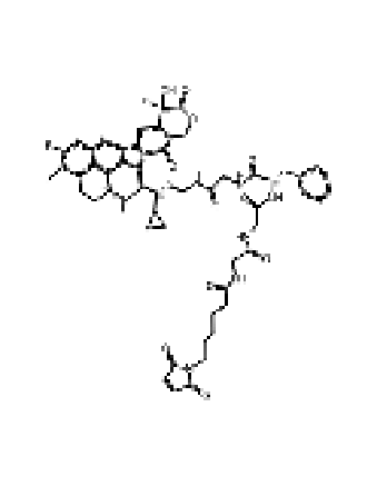 CC[C@@]1(O)C(=O)OCc2c1cc1c3nc4cc(F)c(C)c5c4c4c3c(n1c2=O)=C([C@H](OCNC(=O)CNC(=O)[C@H](Cc1ccccc1)NC(=O)CNC(=O)CNC(=O)CCCCCN1C(=O)C=CC1=O)C1CC1)N[C@H]4CC5